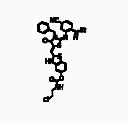 CCNc1ccc(C#N)cc1/N=C1/S/C(=C\C2Nc3cc(OC(=O)NCCCl)ccc3S2)C(=O)N1Cc1ccccc1